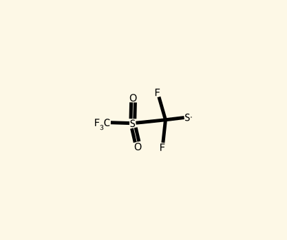 O=S(=O)(C(F)(F)F)C(F)(F)[S]